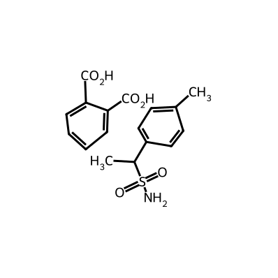 Cc1ccc(C(C)S(N)(=O)=O)cc1.O=C(O)c1ccccc1C(=O)O